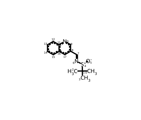 CC(C)(C)[S+]([O-])N=Cc1cnc2ccccc2c1